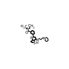 CCN(CC)C(=O)c1cccc(-c2cc(NCCCN3CCCCC3)c3sccc3n2)c1